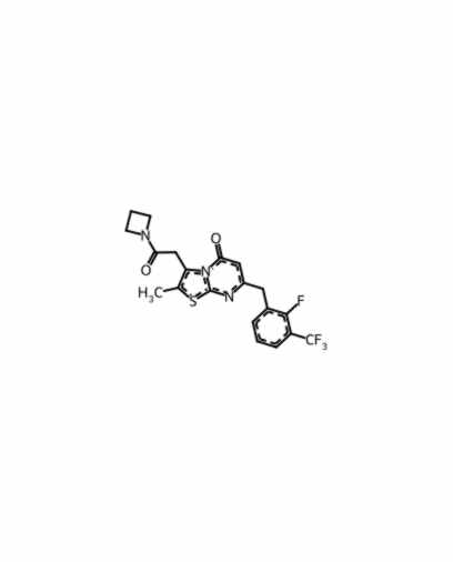 Cc1sc2nc(Cc3cccc(C(F)(F)F)c3F)cc(=O)n2c1CC(=O)N1CCC1